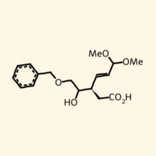 COC(C=C[C@@H](CC(=O)O)C(O)COCc1ccccc1)OC